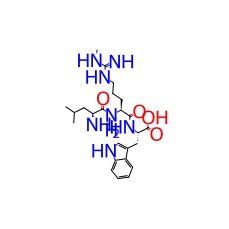 CNC(=N)NCCC[C@H](NC(=O)[C@@H](N)CC(C)C)C(=O)N[C@@H](Cc1c[nH]c2ccccc12)C(=O)O